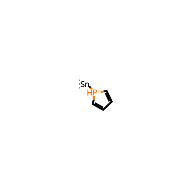 [Sn][PH+]1C=CC=C1